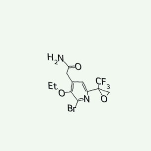 CCOc1c(CC(N)=O)cc(C2(C(F)(F)F)CO2)nc1Br